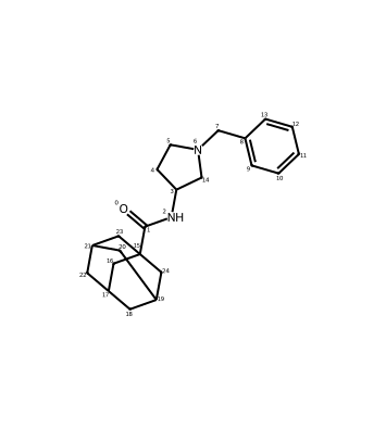 O=C(NC1CCN(Cc2ccccc2)C1)C12CC3CC(CC(C3)C1)C2